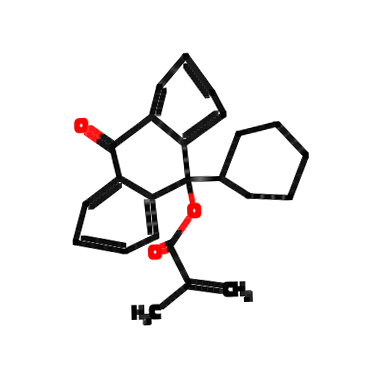 C=C(C)C(=O)OC1(C2CCCCC2)c2ccccc2C(=O)c2ccccc21